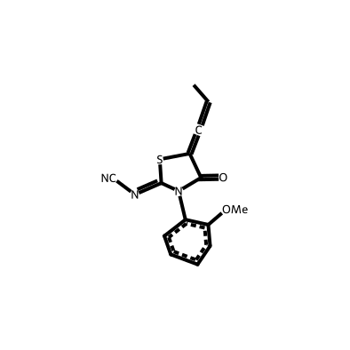 CC=C=C1SC(=NC#N)N(c2ccccc2OC)C1=O